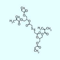 C=CC(=O)OCC(COC(=O)C(=C)C)OC(=O)CSSCC(=O)OC(COC(=O)C=C)COC(=O)C(=C)C